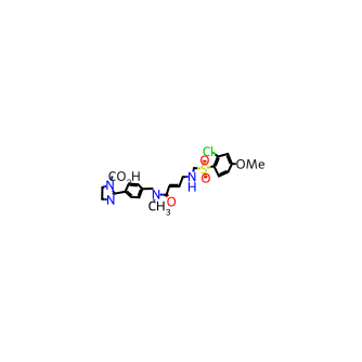 COc1ccc(S(=O)(=O)CNCC=CC(=O)N(C)Cc2ccc(C3=NCCN3C(=O)O)cc2)c(Cl)c1